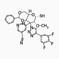 CO[C@H]1[C@@H](S)O[C@@H]2COC(c3ccccc3)O[C@@H]2C1(c1cncc(C#N)c1)n1cc(-c2cc(F)c(F)c(F)c2)nn1